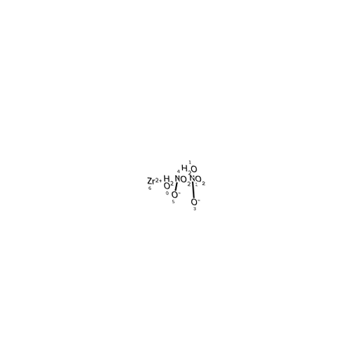 O.O.O=[N+]([O-])[O-].O=[N+]([O-])[O-].[Zr+2]